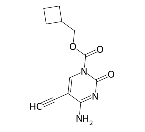 C#Cc1cn(C(=O)OCC2CCC2)c(=O)nc1N